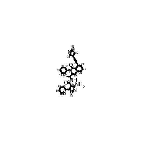 CC(NC(=O)c1c(N)nn(C)c1-c1ccccn1)c1cc2cccc(C#Cc3cnn(C)c3)c2c(=O)n1-c1ccccc1